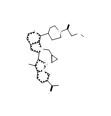 COCC(=O)N1CCC(c2nccc3cc(-c4nn5cc(C(C)=O)ccc5c4C)n(CC4CC4)c23)CC1